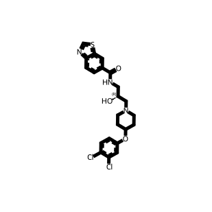 O=C(NC[C@@H](O)CN1CCC(Oc2ccc(Cl)c(Cl)c2)CC1)c1ccc2ncsc2c1